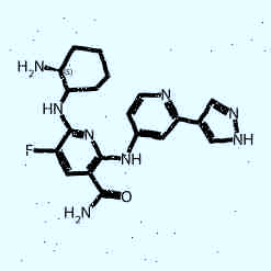 NC(=O)c1cc(F)c(NC2CCCC[C@@H]2N)nc1Nc1ccnc(-c2cn[nH]c2)c1